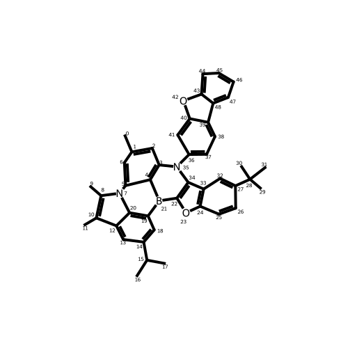 Cc1cc2c3c(c1)-n1c(C)c(C)c4cc(C(C)C)cc(c41)B3c1oc3ccc(C(C)(C)C)cc3c1N2c1ccc2c(c1)oc1ccccc12